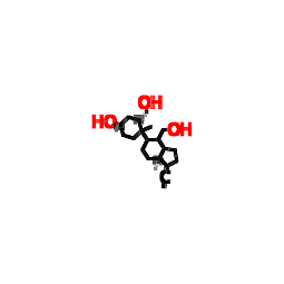 C=C=C1CCC2C(CO)C(C3(C)CC[C@H](O)C[C@@H]3CO)CC[C@]12C